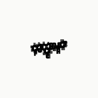 O=C(O)CCCN(Cc1cccc(F)c1)C(=O)c1cc(Cl)cc(OCCNc2ccncc2)c1